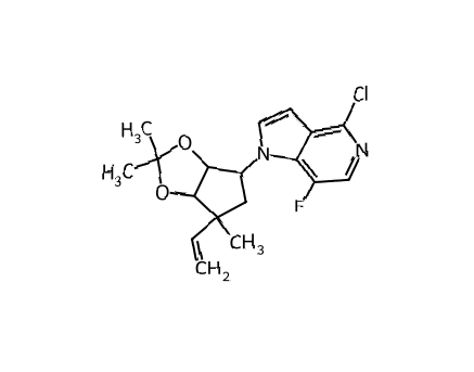 C=CC1(C)CC(n2ccc3c(Cl)ncc(F)c32)C2OC(C)(C)OC21